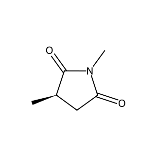 C[C@@H]1CC(=O)N(C)C1=O